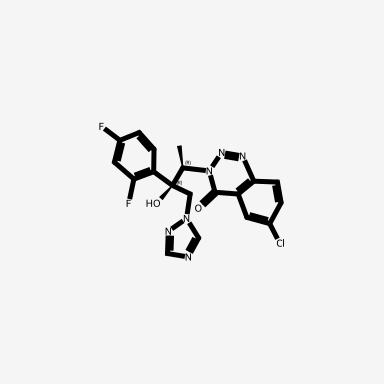 C[C@@H](n1nnc2ccc(Cl)cc2c1=O)[C@](O)(Cn1cncn1)c1ccc(F)cc1F